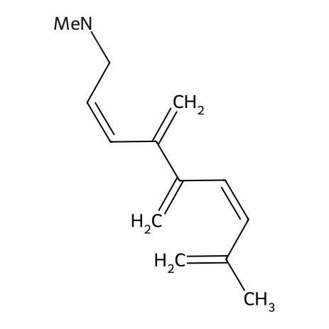 C=C(C)/C=C\C(=C)C(=C)/C=C\CNC